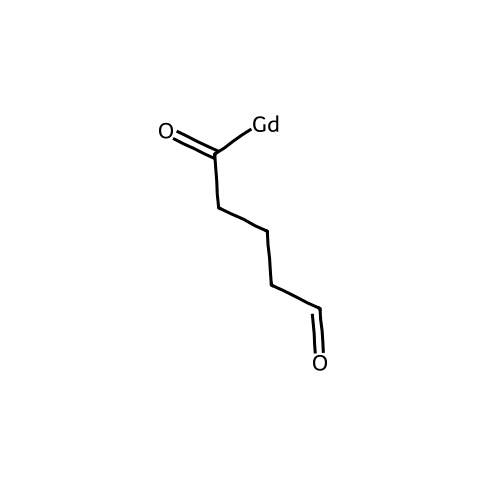 O=CCCC[C](=O)[Gd]